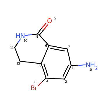 Nc1cc(Br)c2c(c1)C(=O)NCC2